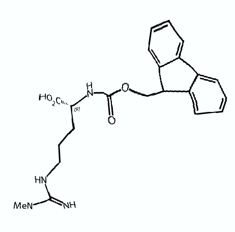 CNC(=N)NCCC[C@@H](NC(=O)OCC1c2ccccc2-c2ccccc21)C(=O)O